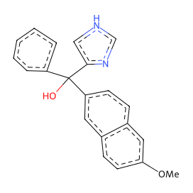 COc1ccc2cc(C(O)(c3ccccc3)c3c[nH]cn3)ccc2c1